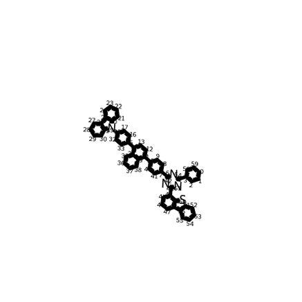 c1ccc(-c2nc(-c3ccc(-c4ccc(-c5ccc(-n6c7ccccc7c7ccccc76)cc5)c5ccccc45)cc3)nc(-c3cccc4c3sc3ccccc34)n2)cc1